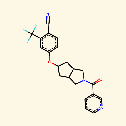 N#Cc1ccc(OC2CC3CN(C(=O)c4cccnc4)CC3C2)cc1C(F)(F)F